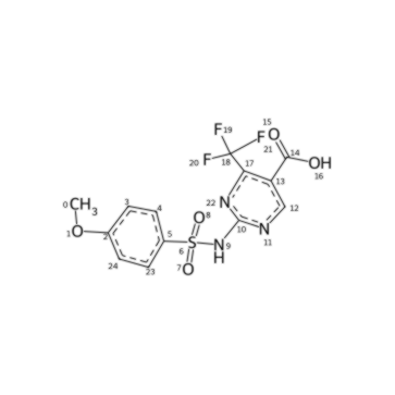 COc1ccc(S(=O)(=O)Nc2ncc(C(=O)O)c(C(F)(F)F)n2)cc1